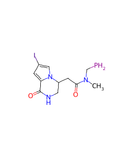 CN(CP)C(=O)CC1CNC(=O)c2cc(I)cn21